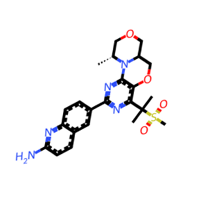 C[C@@H]1COCC2COc3c(nc(-c4ccc5nc(N)ccc5c4)nc3C(C)(C)S(C)(=O)=O)N21